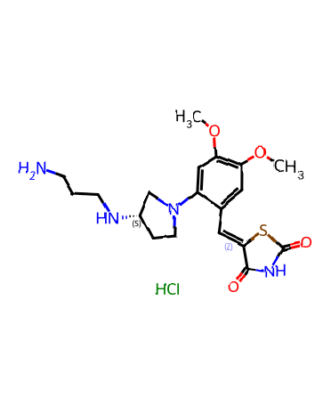 COc1cc(/C=C2\SC(=O)NC2=O)c(N2CC[C@H](NCCCN)C2)cc1OC.Cl